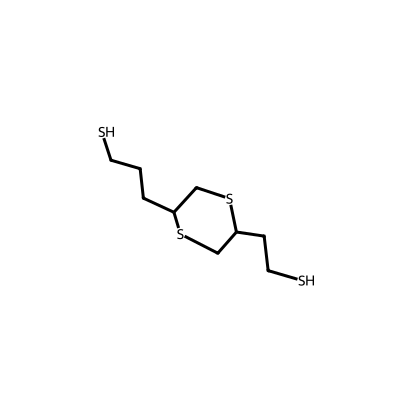 SCCCC1CSC(CCS)CS1